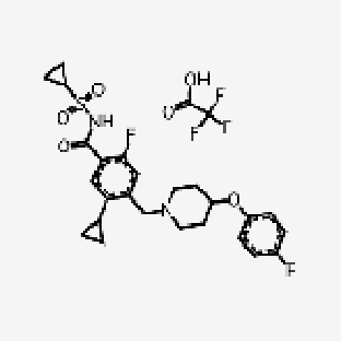 O=C(NS(=O)(=O)C1CC1)c1cc(C2CC2)c(CN2CCC(Oc3ccc(F)cc3)CC2)cc1F.O=C(O)C(F)(F)F